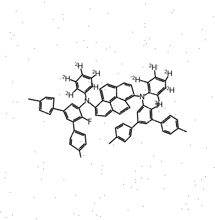 [2H]c1c([2H])c([2H])c(N(c2cc(-c3ccc(C)cc3)cc(-c3ccc(C)cc3)c2F)c2ccc3ccc4c(N(c5cc(-c6ccc(C)cc6)cc(-c6ccc(C)cc6)c5F)c5c([2H])c([2H])c([2H])c([2H])c5[2H])ccc5ccc2c3c54)c([2H])c1[2H]